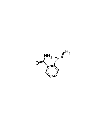 C=COc1ccccc1C(N)=O